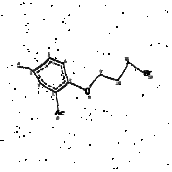 CC(=O)c1cc(C)ccc1OCCCBr